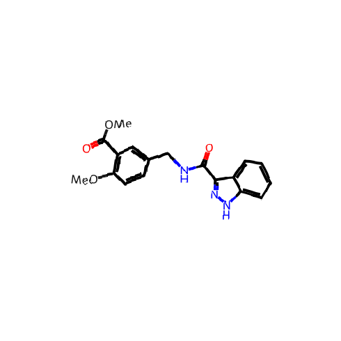 COC(=O)c1cc(CNC(=O)c2n[nH]c3ccccc23)ccc1OC